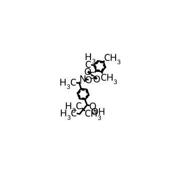 CCC(C)(C)C(OO)c1ccc(/C(C)=N\OS(=O)(=O)c2c(C)cc(C)cc2C)cc1